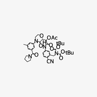 CC(=O)O[C@@H](C(=O)Nc1ccc(C#N)c(CN(C(=O)OC(C)(C)C)C(=O)OC(C)(C)C)c1)[C@H]1OCCN(c2cc(C)cc(C(=O)N3CCCC3)c2)C1=O